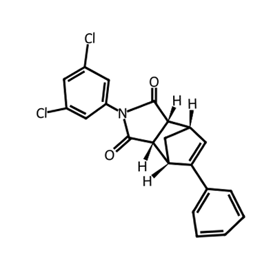 O=C1[C@@H]2[C@H](C(=O)N1c1cc(Cl)cc(Cl)c1)[C@@H]1C=C(c3ccccc3)[C@H]2C1